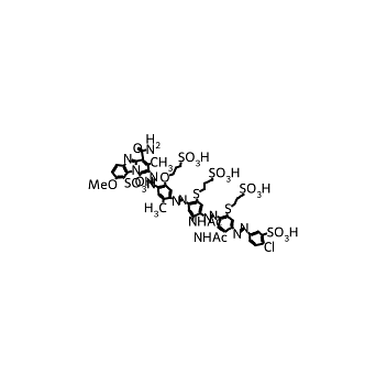 COc1ccc2nc3c(C(N)=O)c(C)c(N=Nc4cc(C)c(N=Nc5cc(NC(C)=O)c(N=Nc6cc(NC(C)=O)c(N=Nc7ccc(Cl)c(S(=O)(=O)O)c7)cc6SCCCS(=O)(=O)O)cc5SCCCS(=O)(=O)O)cc4OCCCS(=O)(=O)O)c(O)n3c2c1S(=O)(=O)O